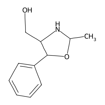 CC1NC(CO)C(c2ccccc2)O1